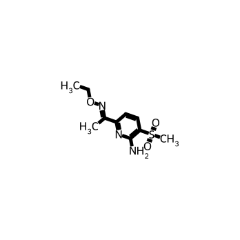 CCO/N=C(\C)c1ccc(S(C)(=O)=O)c(N)n1